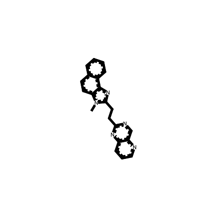 Cn1c(CCc2ncc3ncccc3n2)nc2c3ccccc3ccc21